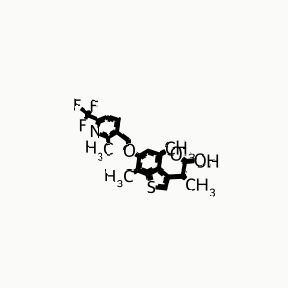 Cc1nc(C(F)(F)F)ccc1COc1cc(C)c2c(C(C)C(=O)O)csc2c1C